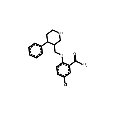 NC(=O)c1cc(Cl)ccc1OCC1CNCCC1c1ccccc1